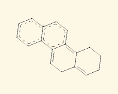 C1=C2CC=c3c(ccc4ccccc34)=C2CCC1